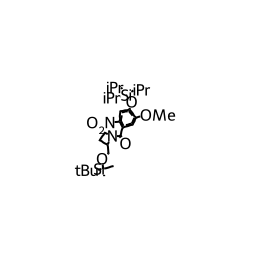 COc1cc(C(=O)N2CCC2CO[Si](C)(C)C(C)(C)C)c([N+](=O)[O-])cc1O[Si](C(C)C)(C(C)C)C(C)C